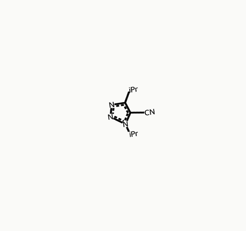 CC(C)c1nnn(C(C)C)c1C#N